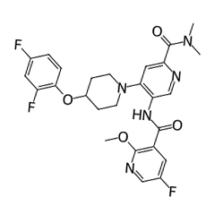 COc1ncc(F)cc1C(=O)Nc1cnc(C(=O)N(C)C)cc1N1CCC(Oc2ccc(F)cc2F)CC1